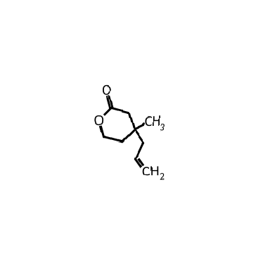 C=CCC1(C)CCOC(=O)C1